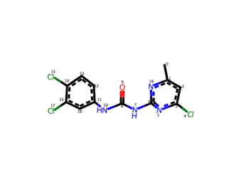 Cc1cc(Cl)nc(NC(=O)Nc2ccc(Cl)c(Cl)c2)n1